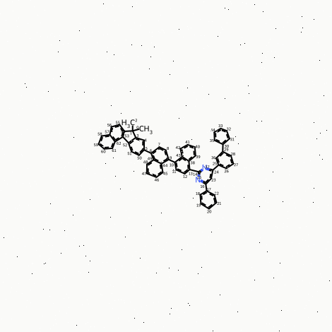 CC1(C)c2cc(-c3ccc(-c4ccc(-c5nc(-c6ccccc6)cc(-c6cccc(-c7ccccc7)c6)n5)c5ccccc45)c4ccccc34)ccc2-c2c1ccc1ccccc21